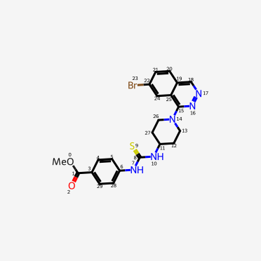 COC(=O)c1ccc(NC(=S)NC2CCN(c3nncc4ccc(Br)cc34)CC2)cc1